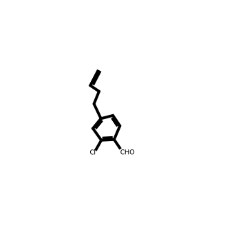 C=CCCc1ccc(C=O)c(Cl)c1